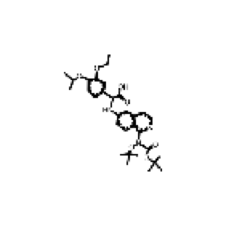 CCOc1cc(C(Nc2ccc3c(N(OC(C)(C)C)C(=O)OC(C)(C)C)nccc3c2)C(=O)O)ccc1OC(C)C